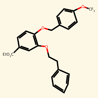 CCOC(=O)c1ccc(OCc2ccc(OC(F)(F)F)cc2)c(OCCc2ccccc2)c1